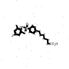 Cc1cc(F)cc(C)c1NS(=O)(=O)c1ccc(CCCCCCC(=O)O)cc1